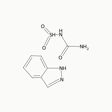 NC(=O)N[SH](=O)=O.c1ccc2[nH]ncc2c1